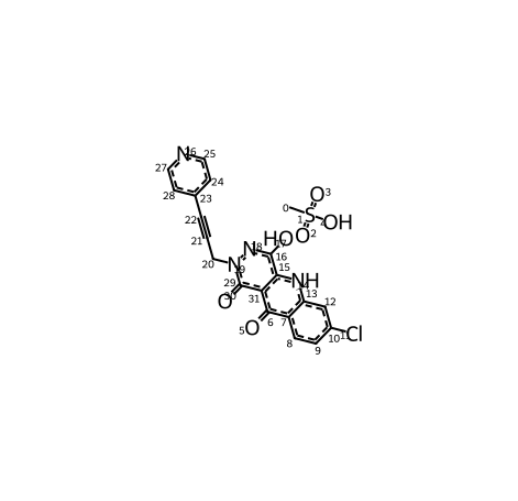 CS(=O)(=O)O.O=c1c2ccc(Cl)cc2[nH]c2c(O)nn(CC#Cc3ccncc3)c(=O)c12